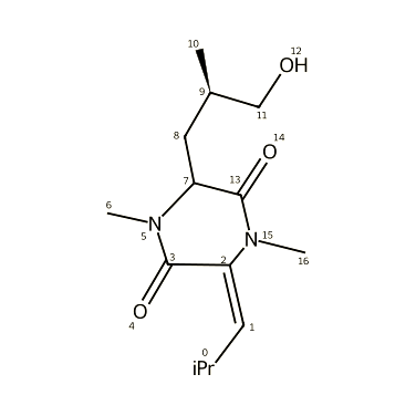 CC(C)/C=C1\C(=O)N(C)C(C[C@@H](C)CO)C(=O)N1C